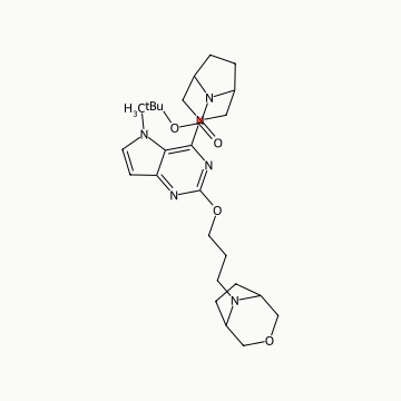 Cn1ccc2nc(OCCCN3C4CCC3COC4)nc(N3CC4CCC(C3)N4C(=O)OC(C)(C)C)c21